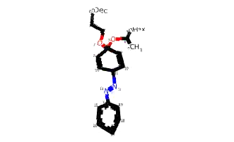 CCCCCCCCCCCCOC1(OC(C)CCCCCC)C=CC(/N=N/c2ccccc2)C=C1